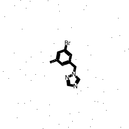 Cc1cc(Br)cc(Cn2cncn2)c1